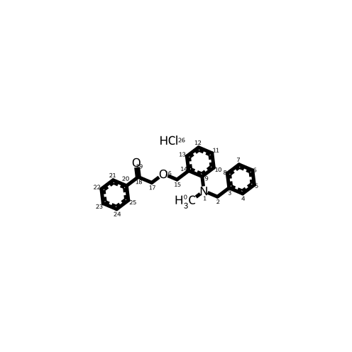 CN(Cc1ccccc1)c1ccccc1COCC(=O)c1ccccc1.Cl